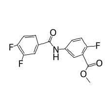 COC(=O)c1cc(NC(=O)c2ccc(F)c(F)c2)ccc1F